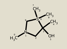 CN1CC(C)(O)S(C)(C)C1